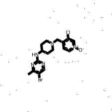 Cc1nc(NC2CCN(Cc3cc[n+]([O-])cc3Cl)CC2)ncc1Br